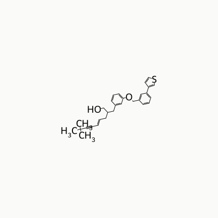 CC(C)(C)C#CC=CCC(CO)Cc1cccc(OCc2cccc(-c3ccsc3)c2)c1